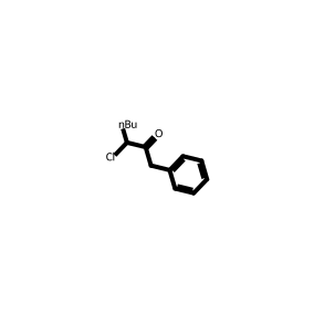 CCCCC(Cl)C(=O)Cc1ccccc1